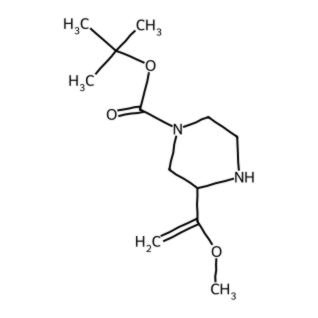 C=C(OC)C1CN(C(=O)OC(C)(C)C)CCN1